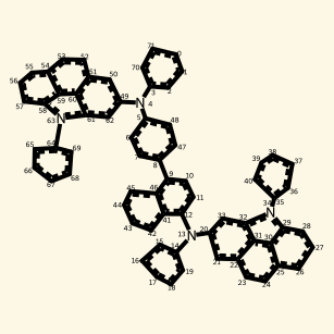 c1ccc(N(c2ccc(-c3ccc(N(c4ccccc4)c4cc5ccc6cccc7c6c5c(c4)n7-c4ccccc4)c4ccccc34)cc2)c2cc3ccc4cccc5c4c3c(c2)n5-c2ccccc2)cc1